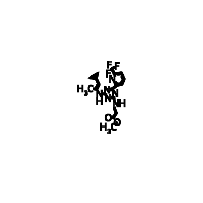 COC(=O)CCNc1nc(NC(C)=CC2CC2)nc(-c2cccc(C(F)(F)F)n2)n1